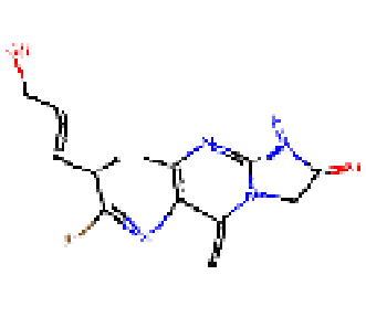 C=C1C(/N=C(/Br)[C@H](C)C=CCO)=C(C)N=C2NC(=O)CN12